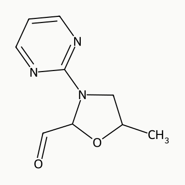 CC1CN(c2ncccn2)C(C=O)O1